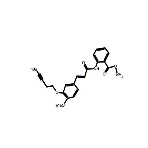 CCCCC#CCCOc1cc(/C=C/C(=O)Nc2ccccc2C(=O)ON)ccc1OC